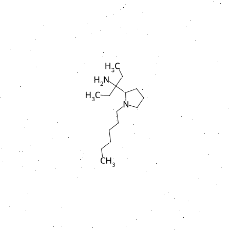 CCCCCCN1CCCC1C(N)(CC)CC